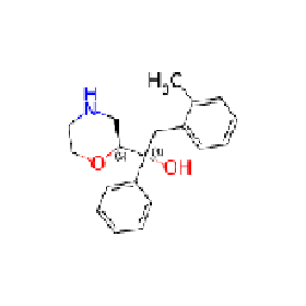 Cc1ccccc1C[C@@](O)(c1ccccc1)[C@@H]1CNCCO1